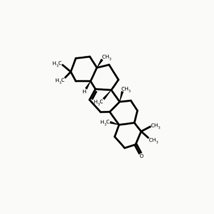 CC1(C)CC[C@]2(C)CC[C@@]3(C)C(=CCC4[C@@]5(C)CCC(=O)C(C)(C)C5CC[C@]43C)[C@@H]2C1